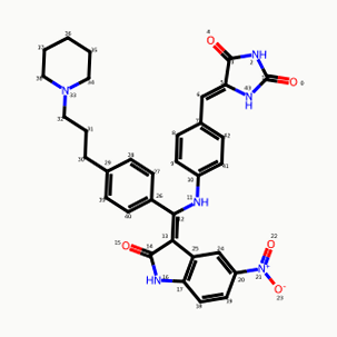 O=C1NC(=O)C(=Cc2ccc(NC(=C3C(=O)Nc4ccc([N+](=O)[O-])cc43)c3ccc(CCCN4CCCCC4)cc3)cc2)N1